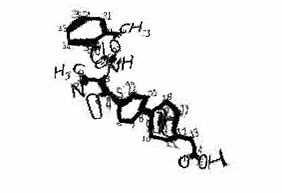 Cc1noc(-c2ccc(C34CCC(CC(=O)O)(CC3)CO4)cc2)c1NC(=O)O[C@H](C)c1ccccc1Cl